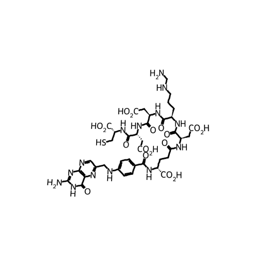 NCNCCC[C@@H](NC(=O)[C@@H](CC(=O)O)NC(=O)CC[C@@H](NC(=O)c1ccc(NCc2cnc3nc(N)[nH]c(=O)c3n2)cc1)C(=O)O)C(=O)N[C@H](CC(=O)O)C(=O)N[C@H](CC(=O)O)C(=O)N[C@H](CS)C(=O)O